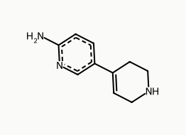 Nc1ccc(C2=CCNCC2)cn1